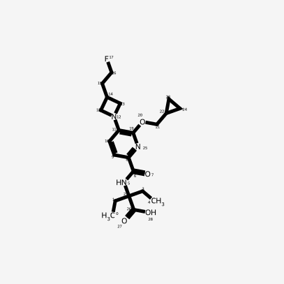 CCC(CC)(NC(=O)c1ccc(N2CC(CCF)C2)c(OCC2CC2)n1)C(=O)O